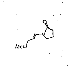 COCC=CN1CCCC1=O